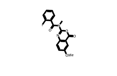 COc1ccc2nc(N(C)C(=O)c3ccccc3I)oc(=O)c2c1